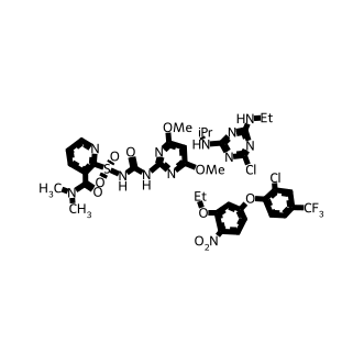 CCNc1nc(Cl)nc(NC(C)C)n1.CCOc1cc(Oc2ccc(C(F)(F)F)cc2Cl)ccc1[N+](=O)[O-].COc1cc(OC)nc(NC(=O)NS(=O)(=O)c2ncccc2C(=O)N(C)C)n1